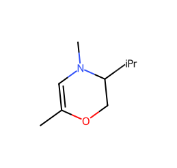 CC1=CN(C)C(C(C)C)CO1